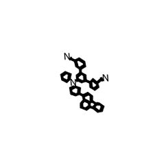 N#Cc1cccc(-c2cc(-c3cccc(C#N)c3)cc(N(c3ccccc3)c3cccc(-c4ccc5c6c(cccc46)-c4ccccc4-5)c3)c2)c1